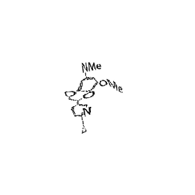 CNc1cc(OC)c2c(c1)OCC(c1ccc(C3CC3)nc1)O2